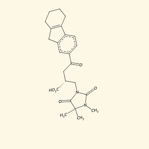 CN1C(=O)N(C[C@@H](CC(=O)c2ccc3c(c2)CC2=C3CCCC2)C(=O)O)C(=O)C1(C)C